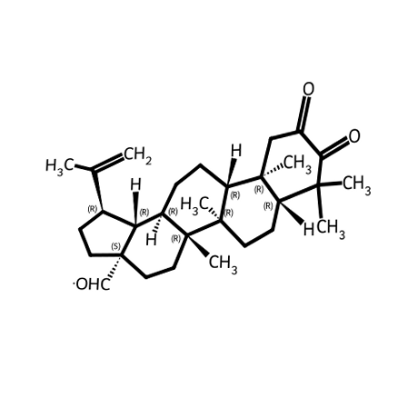 C=C(C)[C@@H]1CC[C@]2([C]=O)CC[C@]3(C)[C@H](CC[C@@H]4[C@@]5(C)CC(=O)C(=O)C(C)(C)[C@@H]5CC[C@]43C)[C@@H]12